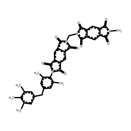 Cc1cc(Cc2cc(C)c(-n3c(=O)c4cc5c(=O)n(Cn6c(=O)c7cc8c(=O)n(C)c(=O)c8cc7c6=O)c(=O)c5cc4c3=O)c(C)c2)cc(C)c1C